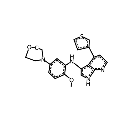 COc1ccc(N2CCOCC2)cc1Nc1c[nH]c2nccc(-c3ccsc3)c12